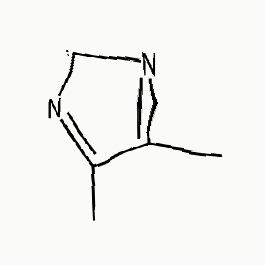 CC1=N[C]N=C1C